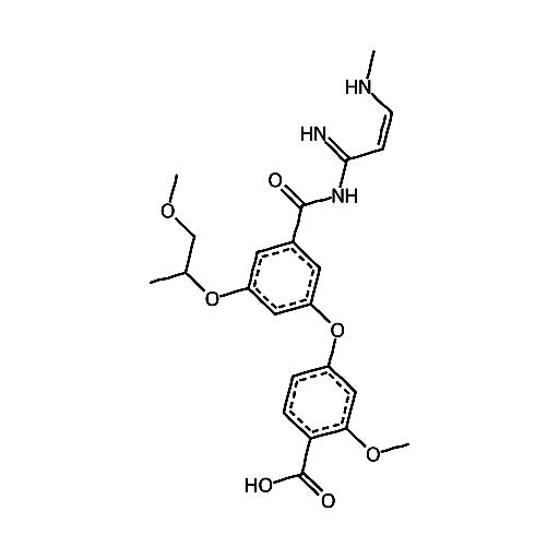 CN/C=C\C(=N)NC(=O)c1cc(Oc2ccc(C(=O)O)c(OC)c2)cc(OC(C)COC)c1